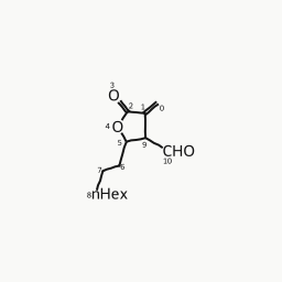 C=C1C(=O)OC(CCCCCCCC)C1C=O